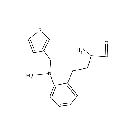 CN(Cc1ccsc1)c1ccccc1CCC(N)C=O